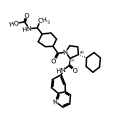 CC(NC(=O)O)C1CCC(C(=O)N2CC[C@H](C3CCCCC3)[C@H]2C(=O)Nc2ccc3ncccc3c2)CC1